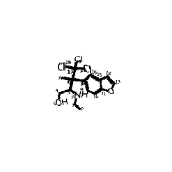 CCNC(CO)C(C)(c1ccc2occc2c1)C(Cl)(Cl)Cl